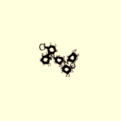 Clc1cccc2c1c1ccccc1n2-c1ccc(N2c3ccccc3Oc3ccccc32)cc1